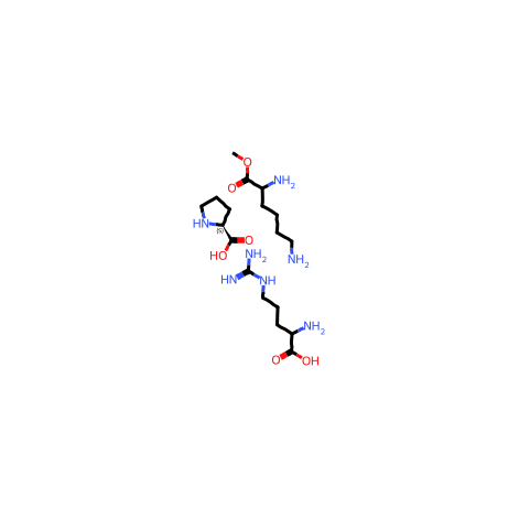 COC(=O)C(N)CCCCN.N=C(N)NCCCC(N)C(=O)O.O=C(O)[C@@H]1CCCN1